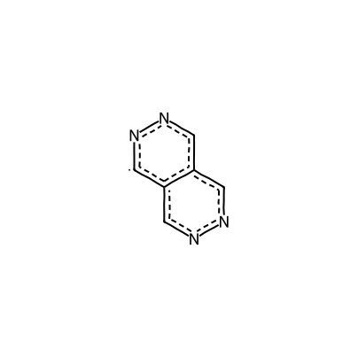 [c]1nncc2cnncc12